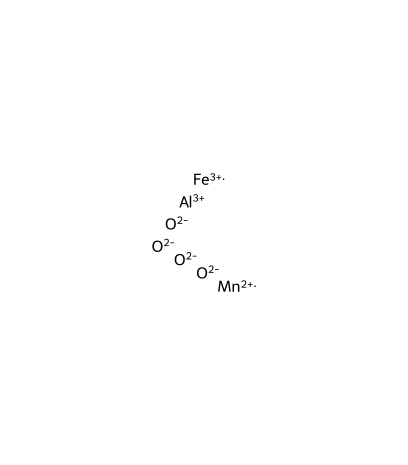 [Al+3].[Fe+3].[Mn+2].[O-2].[O-2].[O-2].[O-2]